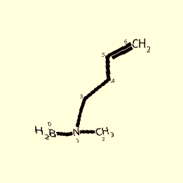 BN(C)CCC=C